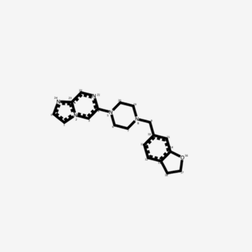 c1cn2cc(N3CCN(Cc4ccc5c(c4)OCC5)CC3)ncc2n1